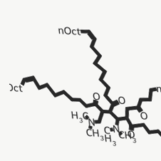 CCCCCCCC/C=C\CCCCCCCC(=O)C(CN(C)C)C(C(=O)CCCCCCC/C=C\CCCCCCCC)C(C(CC(=O)CCCCCCCCCCCCC)C(=O)CCCCCCCCCCCCC)N(C)C